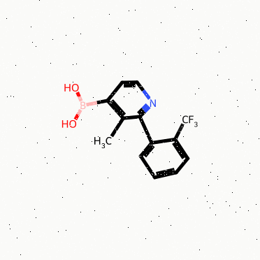 Cc1c(B(O)O)ccnc1-c1ccccc1C(F)(F)F